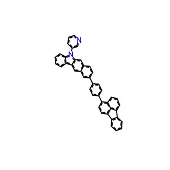 c1cncc(-n2c3ccccc3c3cc4cc(-c5ccc(-c6ccc7c8c(cccc68)-c6ccccc6-7)cc5)ccc4cc32)c1